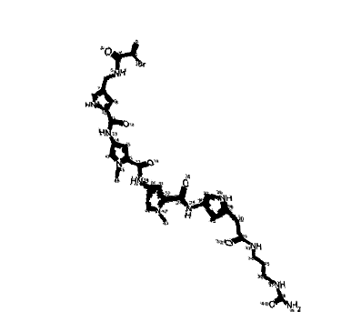 C=C(Br)C(=O)NCc1c[nH]c(C(=O)Nc2cc(C(=O)Nc3cc(C(=O)Nc4c[nH]c(CC(=O)NCCCNC(N)=O)c4)n(C)c3)n(C)c2)c1